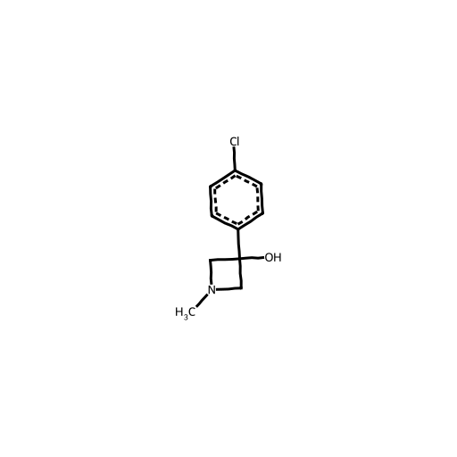 CN1CC(O)(c2ccc(Cl)cc2)C1